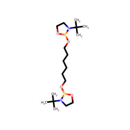 CC(C)(C)N1CCOP1OCCCCCCOP1OCCN1C(C)(C)C